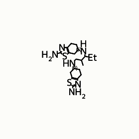 CCC(N[C@H]1CCc2nc(N)sc2C1)C(C)CN[C@@H]1CCc2nc(N)sc2C1